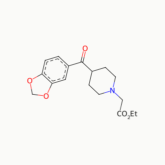 CCOC(=O)CN1CCC(C(=O)c2ccc3c(c2)OCO3)CC1